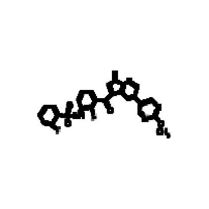 COc1ncc(-c2cnc3[nH]cc(C(=O)c4cccc(NS(=O)(=O)c5ccccc5F)c4F)c3c2)cn1